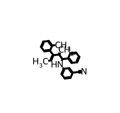 C=C(/C(=C/C)c1ccccc1C)C(Nc1cccc(C#N)c1)c1ccccc1